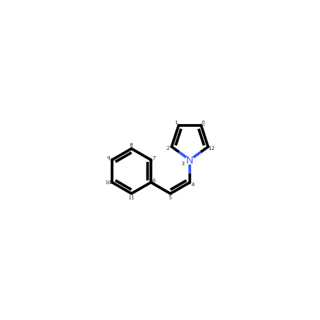 [c]1ccn(/C=C\c2ccccc2)c1